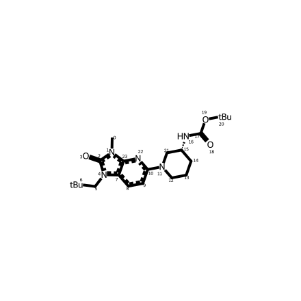 Cn1c(=O)n(CC(C)(C)C)c2ccc(N3CCC[C@@H](NC(=O)OC(C)(C)C)C3)nc21